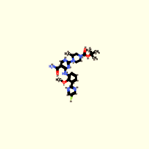 COc1c(Nc2nc(N3CCN(C(=O)OC(C)(C)C)CC3C)ncc2C(N)=O)cccc1-c1ncc(F)cn1